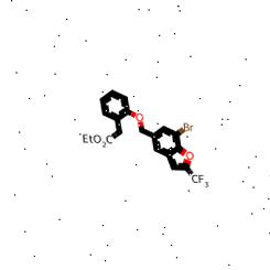 CCOC(=O)Cc1ccccc1OCc1cc(Br)c2oc(C(F)(F)F)cc2c1